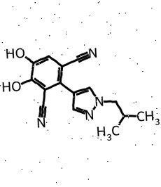 CC(C)Cn1cc(-c2c(C#N)cc(O)c(O)c2C#N)cn1